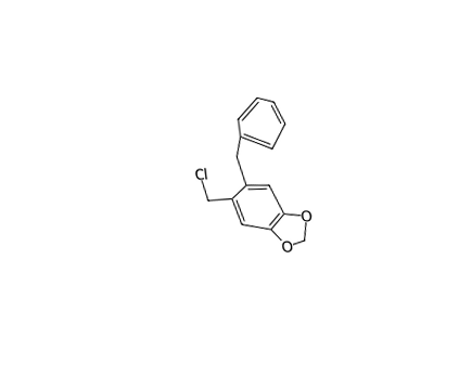 ClCc1cc2c(cc1Cc1ccccc1)OCO2